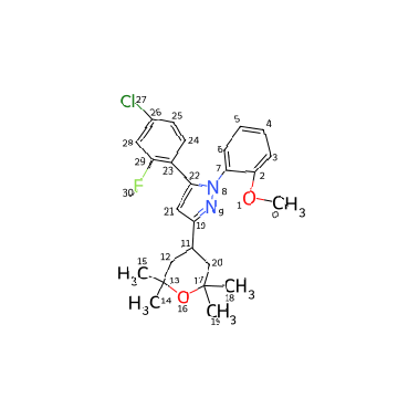 COc1ccccc1-n1nc(C2CC(C)(C)OC(C)(C)C2)cc1-c1ccc(Cl)cc1F